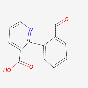 O=Cc1ccccc1-c1ncccc1C(=O)O